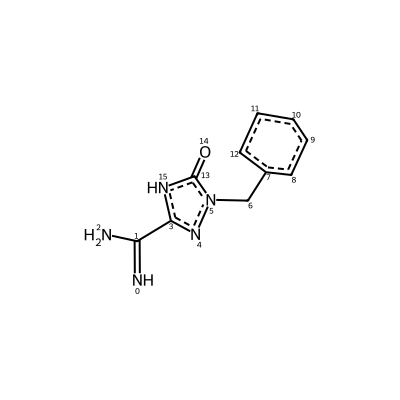 N=C(N)c1nn(Cc2ccccc2)c(=O)[nH]1